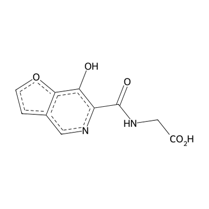 O=C(O)CNC(=O)c1ncc2ccoc2c1O